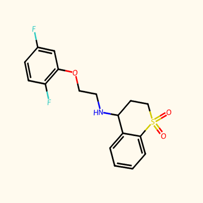 O=S1(=O)CCC(NCCOc2cc(F)ccc2F)c2ccccc21